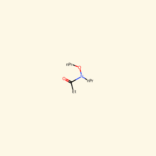 CCCON(CCC)C(=O)CC